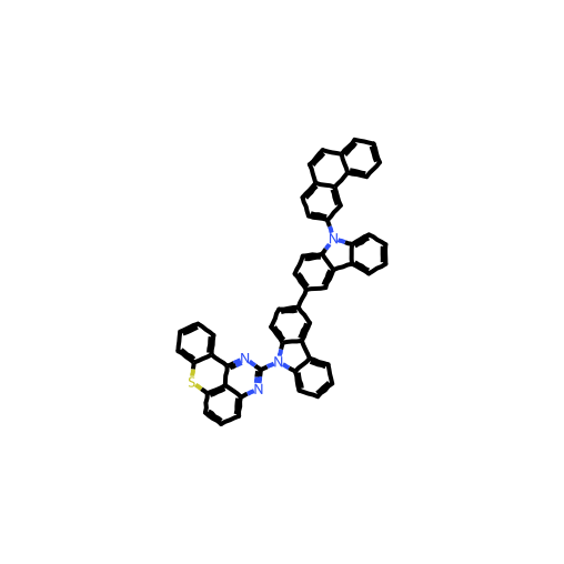 c1ccc2c(c1)Sc1cccc3nc(-n4c5ccccc5c5cc(-c6ccc7c(c6)c6ccccc6n7-c6ccc7ccc8ccccc8c7c6)ccc54)nc-2c13